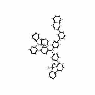 CC1(C)c2ccccc2-c2cccc(-c3ccc(N(c4ccc(-c5cccc(-c6ccc7ccccc7c6)c5)cc4)c4ccc(-c5ccccc5-n5c6ccccc6c6ccccc65)cc4)cc3)c21